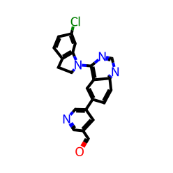 O=Cc1cncc(-c2ccc3ncnc(N4CCc5ccc(Cl)cc54)c3c2)c1